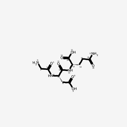 NCC(=O)N[C@@H](CC(=O)O)C(=O)N[C@@H](CCC(N)=O)C(=O)O